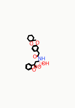 O=C(Cc1ccc2c(c1)OCC1(CCCCC1)O2)NC(Cc1coc2ccccc12)B(O)O